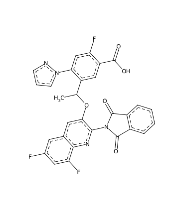 CC(Oc1cc2cc(F)cc(F)c2nc1N1C(=O)c2ccccc2C1=O)c1cc(C(=O)O)c(F)cc1-n1cccn1